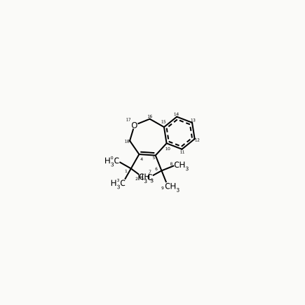 CC(C)(C)C1=C(C(C)(C)C)c2ccccc2COC1